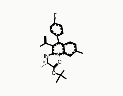 C=C(C)c1c(N[C@@H](C)C(=O)OC(C)(C)C)nc2cc(C)ccc2c1-c1ccc(F)cc1